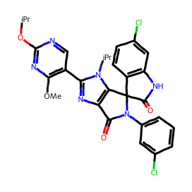 COc1nc(OC(C)C)ncc1-c1nc2c(n1C(C)C)C1(C(=O)Nc3cc(Cl)ccc31)N(c1cccc(Cl)c1)C2=O